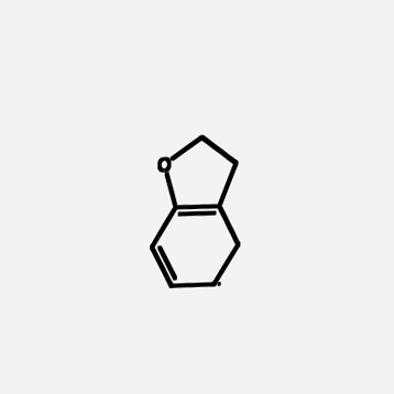 [CH]1C=CC2=C(C1)CCO2